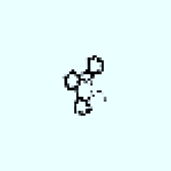 O=[N+]([O-])c1ccccc1-c1cccc2c1oc1ccccc12